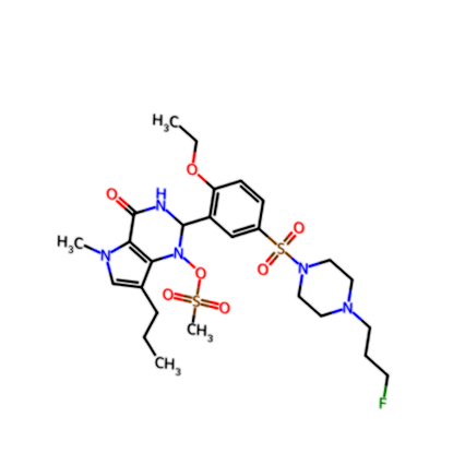 CCCc1cn(C)c2c1N(OS(C)(=O)=O)C(c1cc(S(=O)(=O)N3CCN(CCCF)CC3)ccc1OCC)NC2=O